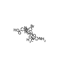 CN(C(=O)C(=O)NCc1cc(Br)cc(-n2nc3ccc(C(=O)O)cc3n2)c1O)c1ccc(N)cc1